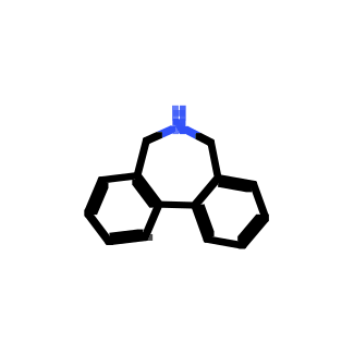 [c]1cccc2c1-c1ccccc1CNC2